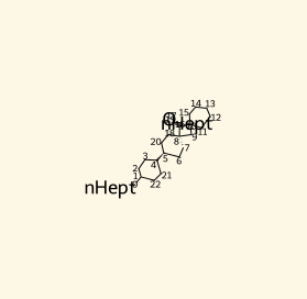 CCCCCCCC1CCC([C@@H]2CC[C@]3(CC4(CCCCC4)C3=O)[C@@H](CCCCCCC)C2)CC1